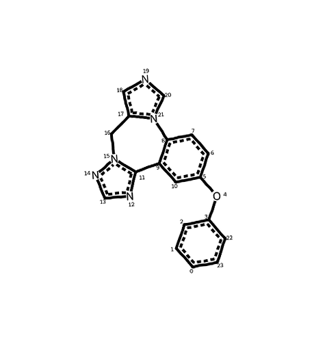 c1ccc(Oc2ccc3c(c2)-c2ncnn2Cc2cncn2-3)cc1